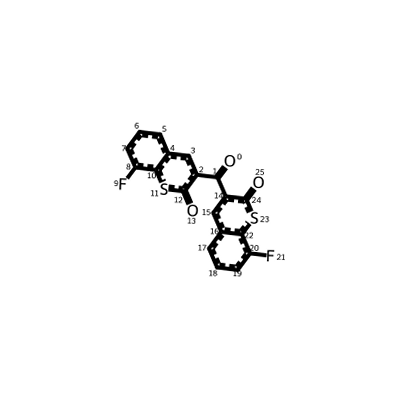 O=C(c1cc2cccc(F)c2sc1=O)c1cc2cccc(F)c2sc1=O